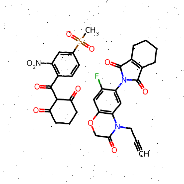 C#CCN1C(=O)COc2cc(F)c(N3C(=O)C4=C(CCCC4)C3=O)cc21.CS(=O)(=O)c1ccc(C(=O)C2C(=O)CCCC2=O)c([N+](=O)[O-])c1